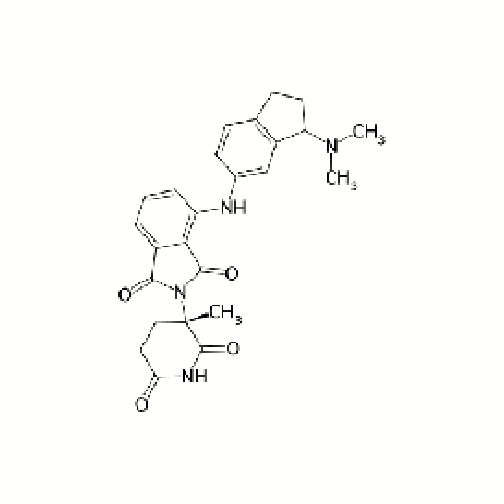 CN(C)C1CCc2ccc(Nc3cccc4c3C(=O)N([C@@]3(C)CCC(=O)NC3=O)C4=O)cc21